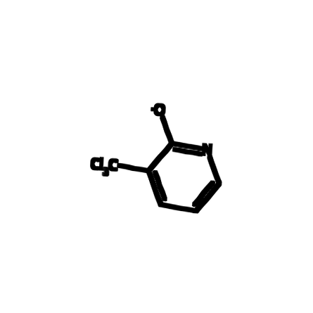 [O]c1ncccc1C(Cl)(Cl)Cl